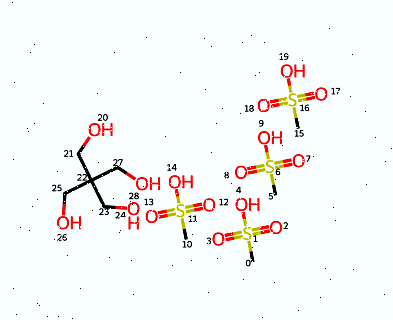 CS(=O)(=O)O.CS(=O)(=O)O.CS(=O)(=O)O.CS(=O)(=O)O.OCC(CO)(CO)CO